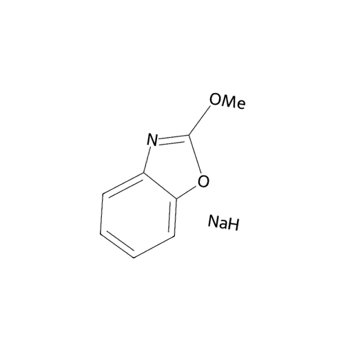 COc1nc2ccccc2o1.[NaH]